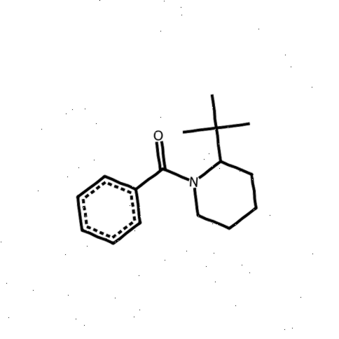 CC(C)(C)C1CCCCN1C(=O)c1ccccc1